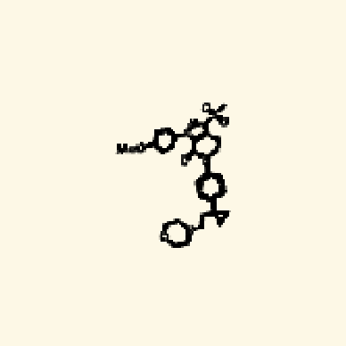 COc1ccc(-n2nc(S(C)(=O)=O)c3c2C(=O)N(c2ccc(C4(CCN5CCOCC5)CC4)cc2)CC3)cc1